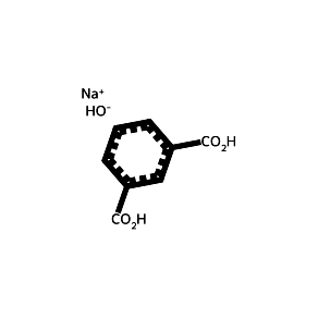 O=C(O)c1cccc(C(=O)O)c1.[Na+].[OH-]